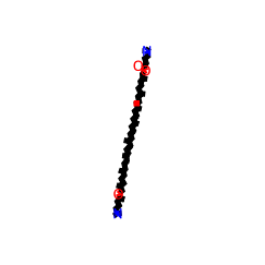 C=C(CCCN(C)C)OC/C(C)=C/CC/C(C)=C/C=C/C(C)=C/C=C/C(C)=C/C=C/C=C(C)/C=C/C=C(C)/C=C/C=C(\C)CC/C=C(\C)COC(=O)CCCN(C)C